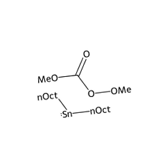 CCCCCCC[CH2][Sn][CH2]CCCCCCC.COOC(=O)OC